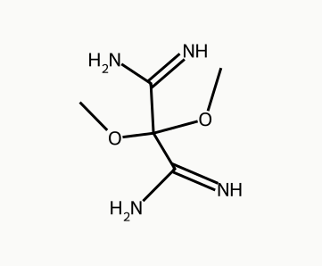 COC(OC)(C(=N)N)C(=N)N